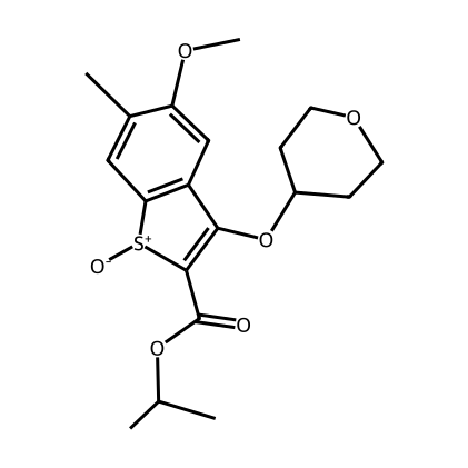 COc1cc2c(OC3CCOCC3)c(C(=O)OC(C)C)[s+]([O-])c2cc1C